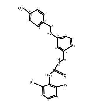 CC(C)c1cccc(C(C)C)c1NC(=O)NCc1cccc(OCc2ccc([N+](=O)[O-])cc2)c1